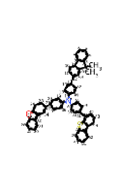 CC1(C)c2ccccc2-c2ccc(-c3ccc(N(c4ccc(-c5ccc6oc7ccccc7c6c5)cc4)c4ccc(-c5cccc6c5sc5ccccc56)cc4)cc3)cc21